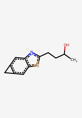 CC(O)CCc1nc2cc3c(cc2s1)C3